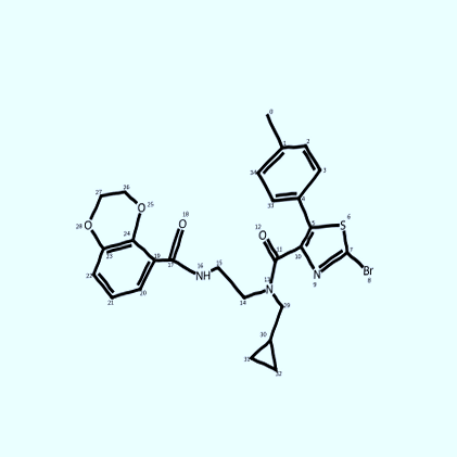 Cc1ccc(-c2sc(Br)nc2C(=O)N(CCNC(=O)c2cccc3c2OCCO3)CC2CC2)cc1